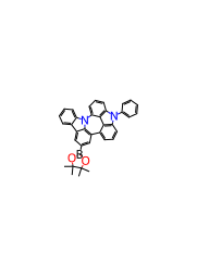 CC1(C)OB(c2cc3c4cccc5c4c4c(cccc4n4c6ccccc6c(c2)c34)n5-c2ccccc2)OC1(C)C